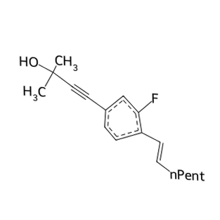 CCCCC/C=C/c1ccc(C#CC(C)(C)O)cc1F